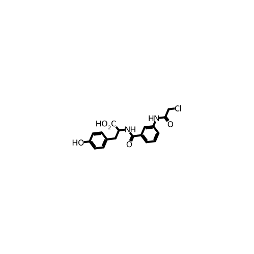 O=C(CCl)Nc1cccc(C(=O)NC(Cc2ccc(O)cc2)C(=O)O)c1